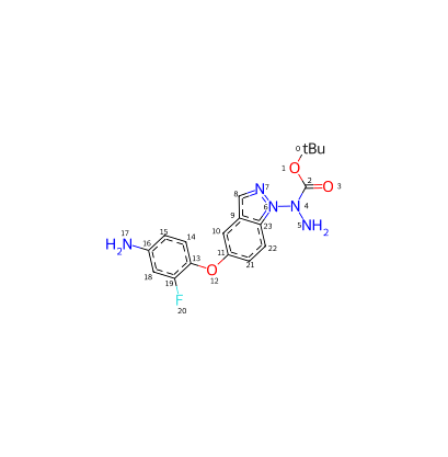 CC(C)(C)OC(=O)N(N)n1ncc2cc(Oc3ccc(N)cc3F)ccc21